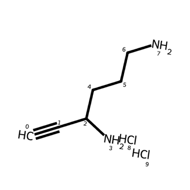 C#CC(N)CCCN.Cl.Cl